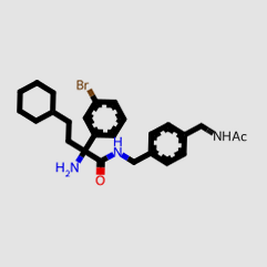 CC(=O)NCc1ccc(CNC(=O)C(N)(CCC2CCCCC2)c2cccc(Br)c2)cc1